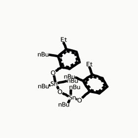 CCCCc1c(CC)cccc1[O][Sn]([CH2]CCC)([CH2]CCC)[O][Sn]([CH2]CCC)([CH2]CCC)[O]c1cccc(CC)c1CCCC